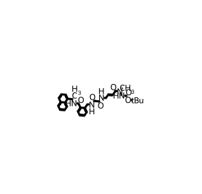 C[C@@H](NC(=O)c1ccccc1CNC(=O)C(=O)NC/C=C/C(=O)N(C)NC(=O)OC(C)(C)C)c1cccc2ccccc12